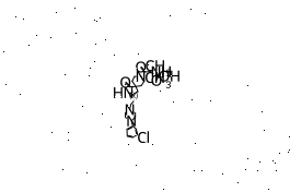 CC(C)(NC(=O)O)C(=O)N1CCC2(CC1)C[C@H](CCN1CCN(c3cccc(Cl)c3)CC1)NC2=O